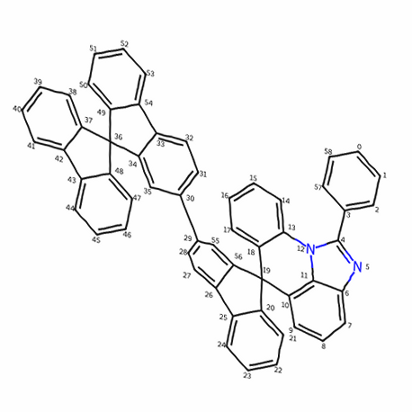 c1ccc(-c2nc3cccc4c3n2-c2ccccc2C42c3ccccc3-c3ccc(-c4ccc5c(c4)C4(c6ccccc6-c6ccccc64)c4ccccc4-5)cc32)cc1